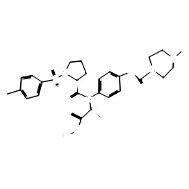 Cc1ccc(S(=O)(=O)N2CCC[C@H]2C(=O)N(c2ccc(OC(=O)N3CCN(C)CC3)cc2)[C@@H](C)C(=O)OC(C)C)cc1